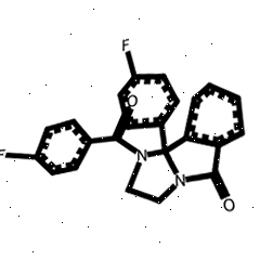 O=C(c1ccc(F)cc1)N1CCN2C(=O)c3ccccc3C12c1ccc(F)cc1